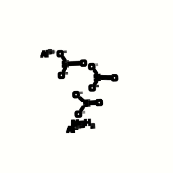 O=[Si]([O-])[O-].O=[Si]([O-])[O-].O=[Si]([O-])[O-].[Al+3].[Al+3].[MgH2]